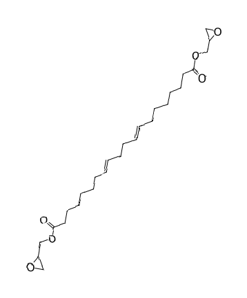 O=C(CCCCCCC=CCCC=CCCCCCCC(=O)OCC1CO1)OCC1CO1